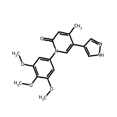 COc1cc(-n2cc(-c3cn[nH]c3)c(C)cc2=O)cc(OC)c1OC